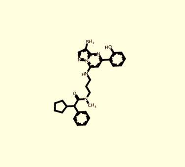 Bc1cnn2c(NCCCN(C)C(=O)C(c3ccccc3)C3CCCC3)cc(-c3ccccc3O)nc12